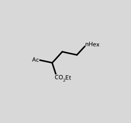 CCCCCCCCC(C(C)=O)C(=O)OCC